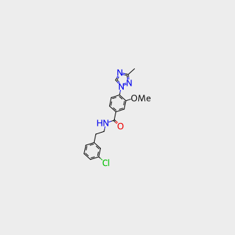 COc1cc(C(=O)NCCc2cccc(Cl)c2)ccc1-n1cnc(C)n1